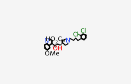 COc1ccc2nccc([C@@H](O)CC[C@@H]3CCN(CCCCc4cccc(Cl)c4Cl)C[C@@H]3C(=O)O)c2c1